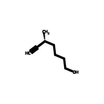 C#C[C@H](C)CCCCO